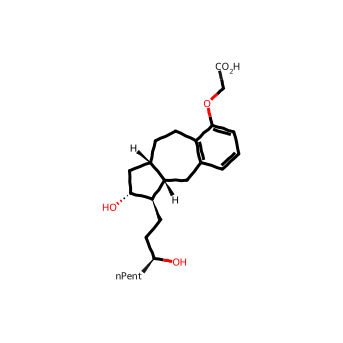 CCCCC[C@H](O)CC[C@@H]1[C@H]2Cc3cccc(OCC(=O)O)c3CC[C@H]2C[C@H]1O